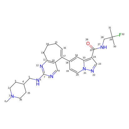 CN1CCC(CNc2ncc3c(n2)CCCC=C3c2ccn3ncc(C(=O)NCC(C)(C)F)c3c2)CC1